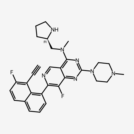 C#Cc1c(F)ccc2cccc(-c3ncc4c(N(C)C[C@H]5CCCN5)nc(N5CCN(C)CC5)nc4c3F)c12